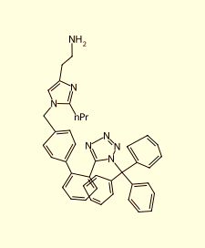 CCCc1nc(CCN)cn1Cc1ccc(-c2ccccc2-c2nnnn2C(c2ccccc2)(c2ccccc2)c2ccccc2)cc1